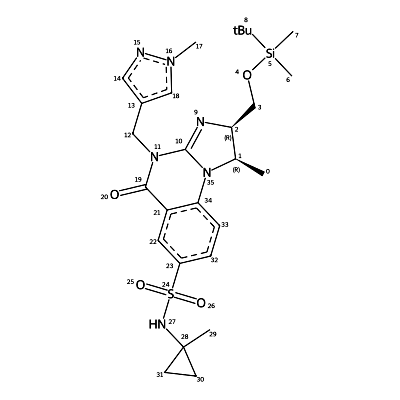 C[C@@H]1[C@H](CO[Si](C)(C)C(C)(C)C)N=C2N(Cc3cnn(C)c3)C(=O)c3cc(S(=O)(=O)NC4(C)CC4)ccc3N21